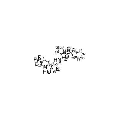 O=C(NCc1cc(-c2ccc(C(F)(F)F)cn2)c(O)cn1)C1CCCN1S(=O)(=O)c1cc2ccccc2o1